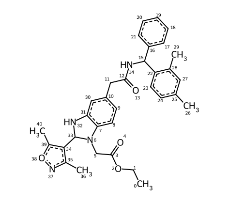 CCOC(=O)CN1c2ccc(CC(=O)NC(c3ccccc3)c3ccc(C)cc3C)cc2NC1c1c(C)noc1C